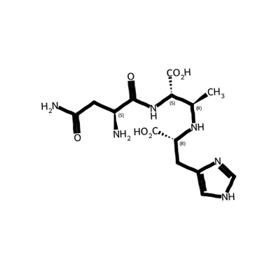 C[C@@H](N[C@H](Cc1c[nH]cn1)C(=O)O)[C@H](NC(=O)[C@@H](N)CC(N)=O)C(=O)O